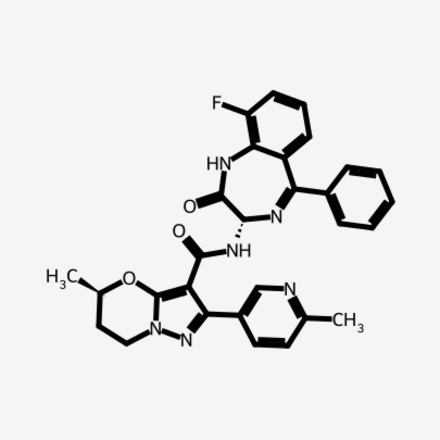 Cc1ccc(-c2nn3c(c2C(=O)N[C@H]2N=C(c4ccccc4)c4cccc(F)c4NC2=O)O[C@H](C)CC3)cn1